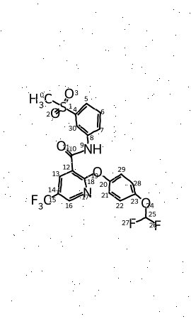 CS(=O)(=O)c1cccc(NC(=O)c2cc(C(F)(F)F)cnc2Oc2ccc(OC(F)F)cc2)c1